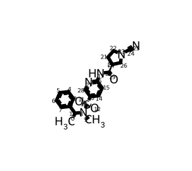 CC(c1ccccc1)N(C)S(=O)(=O)c1ccc(NC(=O)[C@H]2CCN(C#N)C2)nc1